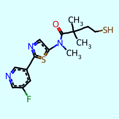 CN(C(=O)C(C)(C)CCS)c1cnc(-c2cncc(F)c2)s1